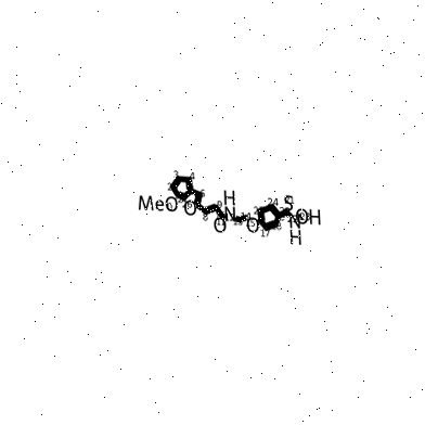 COc1cccc2cc(/C=C/C(=O)NCCOc3ccc(C(=S)NO)cc3)oc12